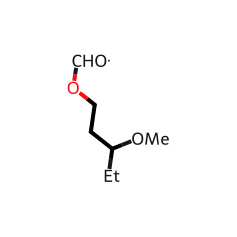 CCC(CCO[C]=O)OC